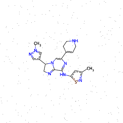 Cc1cc(NC2=NC(C3=CCNCC3)=CN3C2=NCC3c2cnn(C)c2)sn1